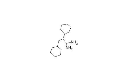 NC(N)C(CC1CCCCC1)C1CCCCC1